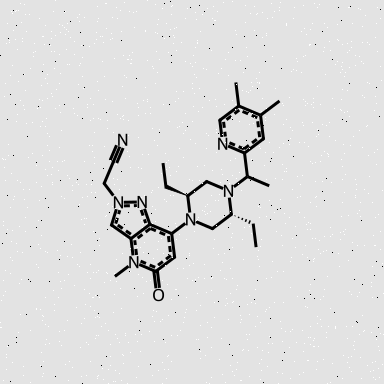 CC[C@H]1CN(C(C)c2cc(C)c(C)cn2)[C@H](CC)CN1c1cc(=O)n(C)c2cn(CC#N)nc12